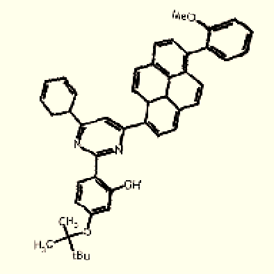 COc1ccccc1-c1ccc2c3c1C=CC1=CC=C(c4cc(C5C=CC=CC5)nc(-c5ccc(OC(C)(C)C(C)(C)C)cc5O)n4)C(C=C2)C13